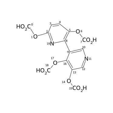 O=C(O)Oc1ccc(OC(=O)O)c(-c2cncc(OC(=O)O)c2OC(=O)O)n1